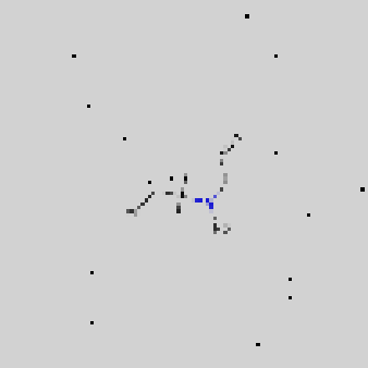 C=CCN(N=O)C(C)(C)CC(C)=O